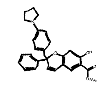 COC(=O)c1cc2c(cc1O)OC(c1ccccc1)(c1ccc(N3CCCC3)cc1)C=C2